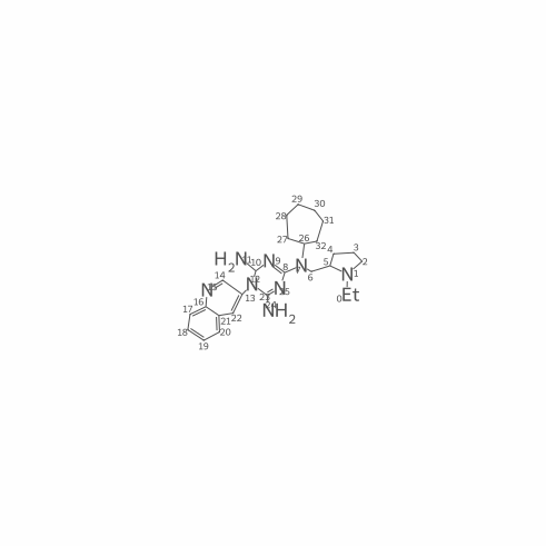 CCN1CCCC1CN(C1=NC(N)N(c2cnc3ccccc3c2)C(N)=N1)C1CCCCCC1